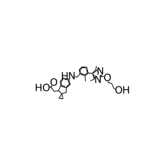 Cc1nc(OCCCO)nc(C)c1-c1cccc(CNc2ccc3c(c2)CC2(CC2)C3CC(=O)O)c1C